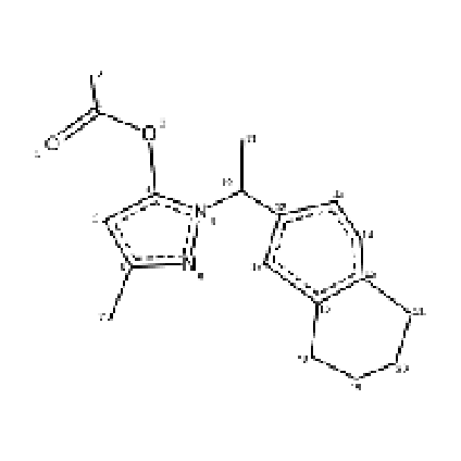 CC(=O)Oc1cc(C)nn1C(C)c1ccc2c(c1)CCCC2